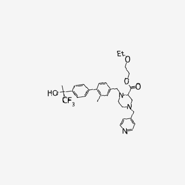 CCOCCOC(=O)C1CN(Cc2ccncc2)CCN1Cc1ccc(-c2ccc(C(C)(O)C(F)(F)F)cc2)c(C)c1